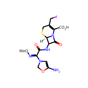 CO/N=C(\C(=O)NC1C(=O)N2C(C(=O)O)=C(CI)CS[C@H]12)N1C=C(N)OC1